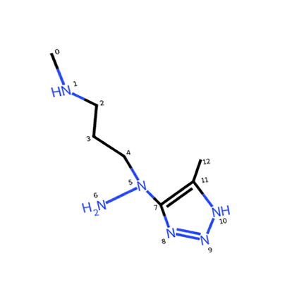 CNCCCN(N)c1nn[nH]c1C